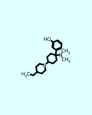 CCC1CCN(C2CCC(c3cccc(O)c3)(N(C)C)CC2)CC1